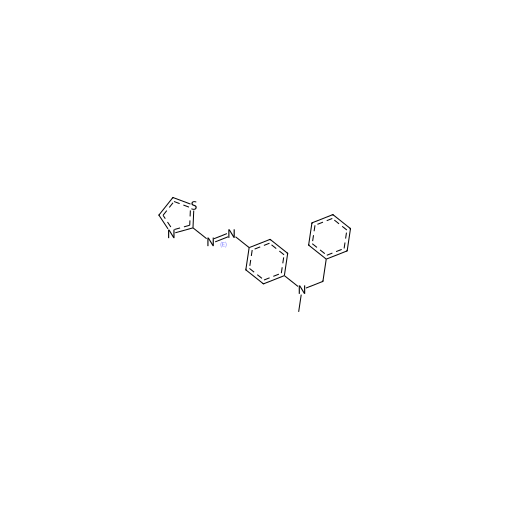 CN(Cc1ccccc1)c1ccc(/N=N/c2nccs2)cc1